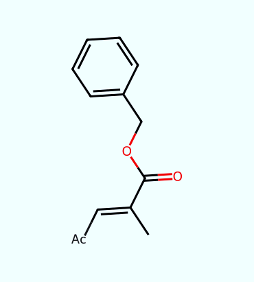 CC(=O)C=C(C)C(=O)OCc1ccccc1